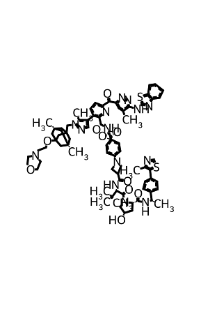 Cc1cc(C(=O)c2ccc(-c3cnn(CC45CC6(OCCN7CCOCC7)C[C@](C)(C4)C[C@](C)(C5)C6)c3C)c(C(=O)NS(=O)(=O)c3ccc(N4CC(C(=O)N[C@H](C(=O)N5C[C@H](O)C[C@H]5C(=O)N[C@@H](C)c5ccc(-c6scnc6C)cc5)C(C)(C)C)C4)cc3)n2)nnc1Nc1nc2ccccc2s1